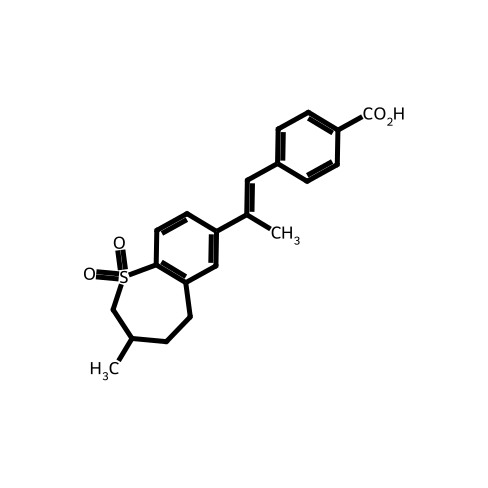 CC(=Cc1ccc(C(=O)O)cc1)c1ccc2c(c1)CCC(C)CS2(=O)=O